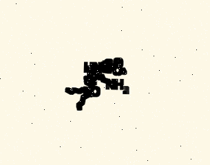 CCCCCN(CCCCC)C(=O)c1ccc2nc(Nc3ccc(C(=O)OCC)cc3)n(CCCN)c2c1